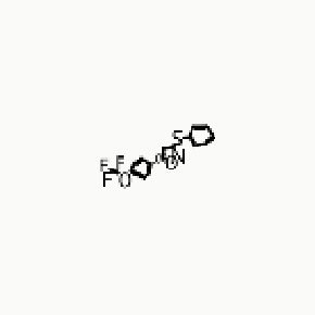 FC(F)(F)Oc1ccc([C@@H]2CC(Sc3ccccc3)=NO2)cc1